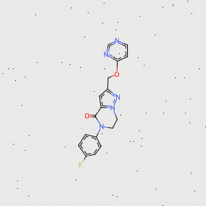 O=C1c2cc(COc3ccncn3)nn2CCN1c1ccc(F)cc1